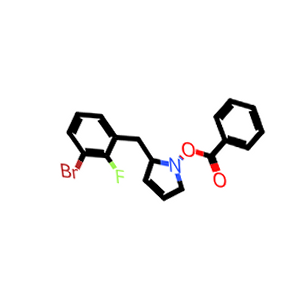 O=C(ON1CC=CC1Cc1cccc(Br)c1F)c1ccccc1